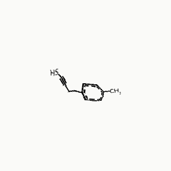 Cc1ccc(CC#CS)cc1